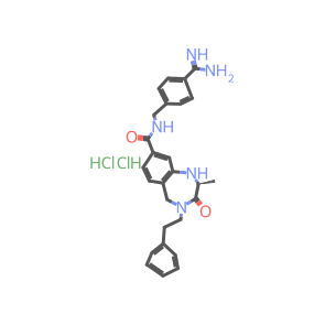 C[C@@H]1Nc2cc(C(=O)NCc3ccc(C(=N)N)cc3)ccc2CN(CCc2ccccc2)C1=O.Cl.Cl